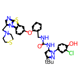 CC(C)(C)c1cc(NC(=O)NCc2ccccc2Oc2ccc3c(c2)sc2ncc(CN4CCSCC4)n23)n(-c2ccc(O)c(Cl)c2)n1